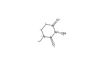 CN1CCC(=O)N(O)C1=O